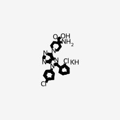 NC1(C(=O)O)CCN(c2ncnc3c2nc(-c2ccccc2Cl)n3-c2ccc(Cl)cc2)CC1.[KH]